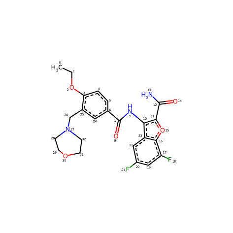 CCOc1ccc(C(=O)Nc2c(C(N)=O)oc3c(F)cc(F)cc23)cc1CN1CCOCC1